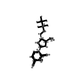 CC(C)(C)[Si](C)(C)OC[C@H]1O[C@@H](n2ccc(=O)[nH]c2=O)C[C@@H]1N